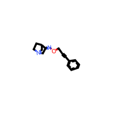 C(#Cc1ccccc1)CO/N=C1\CN2CCC1C2